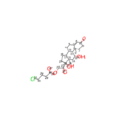 CC12CCC(=O)C=C1CCC1C2C(O)CC2(C)C1CCC2(O)C(=O)COC(=O)CCCCl